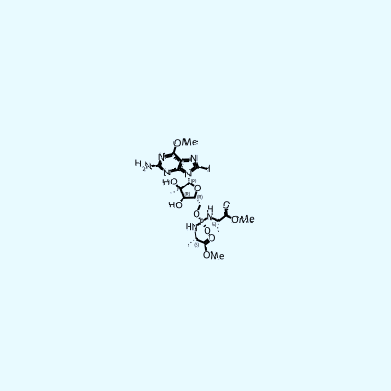 COC(=O)[C@H](C)NP(=O)(N[C@@H](C)C(=O)OC)OC[C@H]1O[C@@H](n2c(I)nc3c(OC)nc(N)nc32)[C@](C)(O)[C@@H]1O